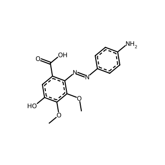 COc1c(O)cc(C(=O)O)c(/N=N/c2ccc(N)cc2)c1OC